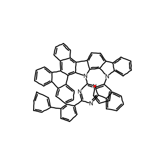 c1ccc(-c2cccc(-c3nc(-c4ccccc4)nc(-n4c5c(c6ccccc6c6c7ccccc7c7ccccc7c65)c5ccc6c7ccccc7n(-c7ccccc7)c6c54)n3)c2)cc1